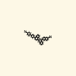 N#Cc1ccc(-c2ccc(-c3ccc(-c4nc(-c5ccc6cc(C#N)ccc6c5)c5ccccc5n4)c4ccccc34)cc2)cc1